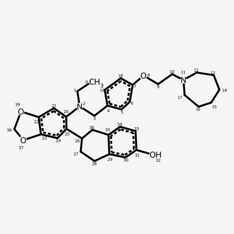 CCN(Cc1ccc(OCCN2CCCCCC2)cc1)c1cc2c(cc1C1CCc3cc(O)ccc3C1)OCO2